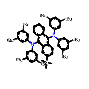 CC(C)(C)c1cc(N(c2cc(C(C)(C)C)cc(C(C)(C)C)c2)c2c3ccccc3c(N(c3cc(C(C)(C)C)cc(C(C)(C)C)c3)c3cc(C(C)(C)C)cc(C(C)(C)C)c3)c3cc([Si](C)(C)C)ccc23)cc(C(C)(C)C)c1